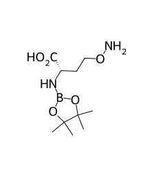 CC1(C)OB(N[C@@H](CCON)C(=O)O)OC1(C)C